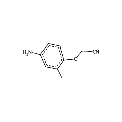 Cc1cc(N)ccc1OCC#N